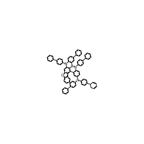 C1=CCC(c2ccc(N(c3ccc(-c4ccccc4)cc3)c3ccc4c(c3)-c3c5c(cc6oc7ccccc7c36)N(c3ccc(-c6ccccc6)cc3)c3ccc(-c6ccccc6)cc3B5N4c3ccc(-c4ccccc4)cc3)cc2)C=C1